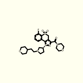 O=C(c1nn([C@H]2CCN(CCC3CCOCC3)C2)c2c1CS(=O)(=O)c1c(F)cccc1-2)N1CCOCC1